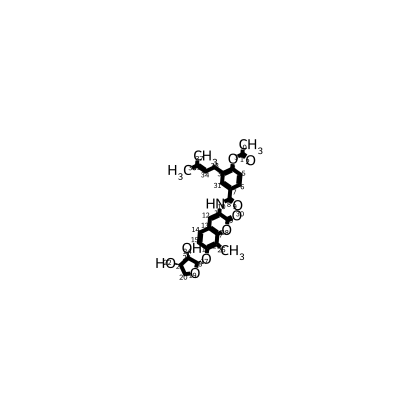 CC(=O)Oc1ccc(C(=O)Nc2cc3ccc(O[C@@H]4OC[C@H](O)[C@H]4O)c(C)c3oc2=O)cc1CC=C(C)C